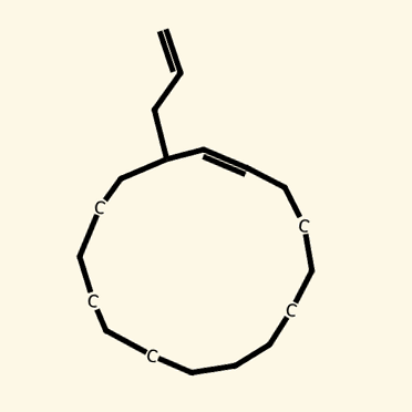 C=CCC1C=CCCCCCCCCCCCCC1